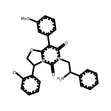 COc1cccc(-c2c3n(c(=O)n(CC(N)c4ccccc4)c2=O)C(c2ccccc2Cl)CO3)c1